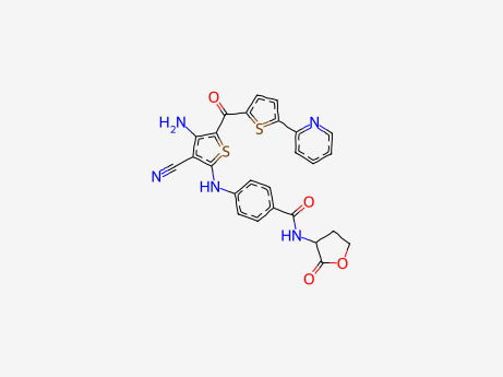 N#Cc1c(Nc2ccc(C(=O)NC3CCOC3=O)cc2)sc(C(=O)c2ccc(-c3ccccn3)s2)c1N